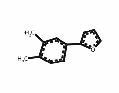 [CH2]c1cc(-c2ccco2)ccc1C